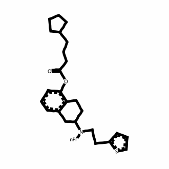 CCCN(CCc1cccs1)C1CCc2c(cccc2OC(=O)CCCC2CCCC2)C1